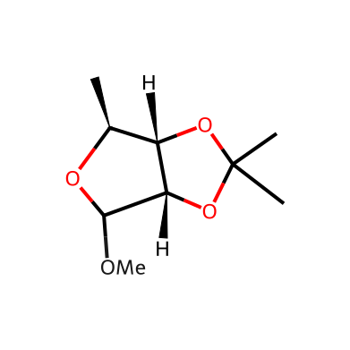 COC1O[C@@H](C)[C@@H]2OC(C)(C)O[C@H]12